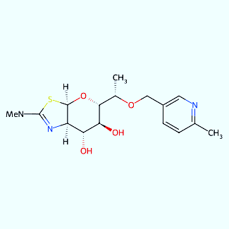 CNC1=N[C@@H]2[C@@H](O)[C@H](O)[C@@H]([C@H](C)OCc3ccc(C)nc3)O[C@@H]2S1